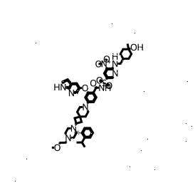 COCCN1CCN(C2CC3(CCN(c4ccc(C(=O)NS(=O)(=O)c5cnc(NCC6CCC(C)(O)CC6)c([N+](=O)[O-])c5)c(Oc5cnc6[nH]ccc6c5)c4)CC3)C2)[C@H](c2ccccc2C(C)C)C1